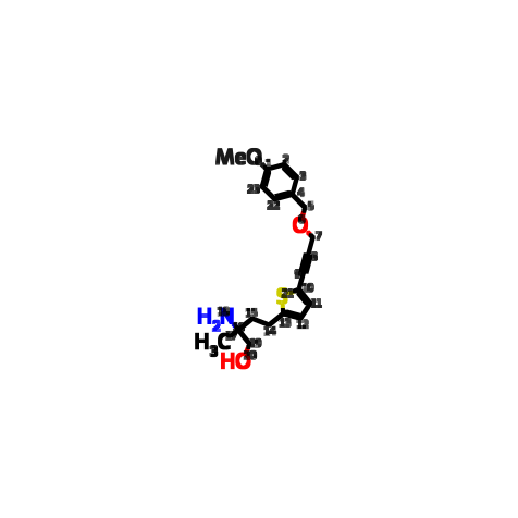 COc1ccc(COCC#Cc2ccc(CCC(C)(N)CO)s2)cc1